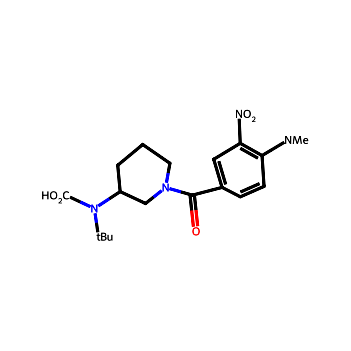 CNc1ccc(C(=O)N2CCCC(N(C(=O)O)C(C)(C)C)C2)cc1[N+](=O)[O-]